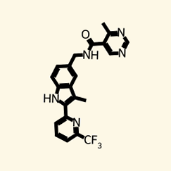 Cc1ncncc1C(=O)NCc1ccc2[nH]c(-c3cccc(C(F)(F)F)n3)c(C)c2c1